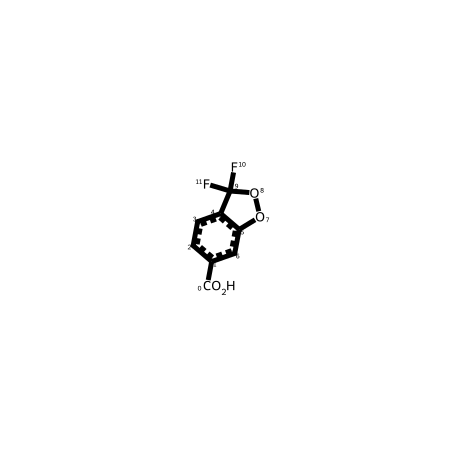 O=C(O)c1ccc2c(c1)OOC2(F)F